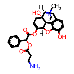 CN1CC[C@]23c4c5ccc(O)c4O[C@H]2C(OC(=O)[C@@H](OC(=O)CCN)c2ccccc2)=CC[C@@]3(O)[C@H]1C5